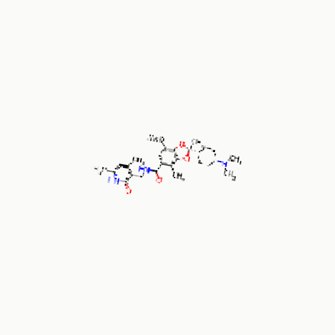 COc1cc(C(=O)NCc2c(C)cc(C)[nH]c2=O)c(C)c2c1OC(C)([C@H]1CC[C@H](N(C)C)CC1)O2